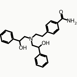 NC(=O)c1ccc(CCN(CC(O)c2ccccc2)CC(O)c2ccccc2)cc1